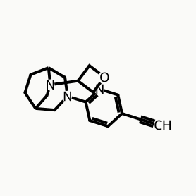 C#Cc1ccc(N2CC3CCC(C2)N(C2COC2)C3)nc1